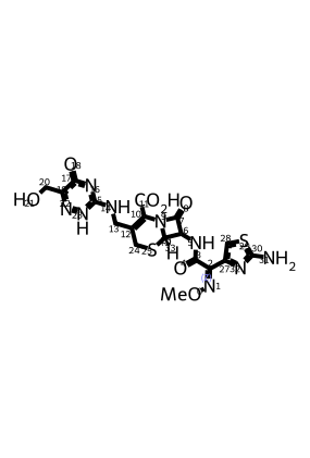 CO/N=C(\C(=O)NC1C(=O)N2C(C(=O)O)=C(CNc3nc(=O)c(CO)n[nH]3)CS[C@@H]12)c1csc(N)n1